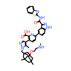 CNCCOC12CC3(C)CC(C)(CC(Cn4ncc(-c5ccc(-c6ccc7[nH]nc(C(=O)Nc8nc9ccccc9s8)c7c6)nc5C(=O)O)c4C)(C3)C1)C2